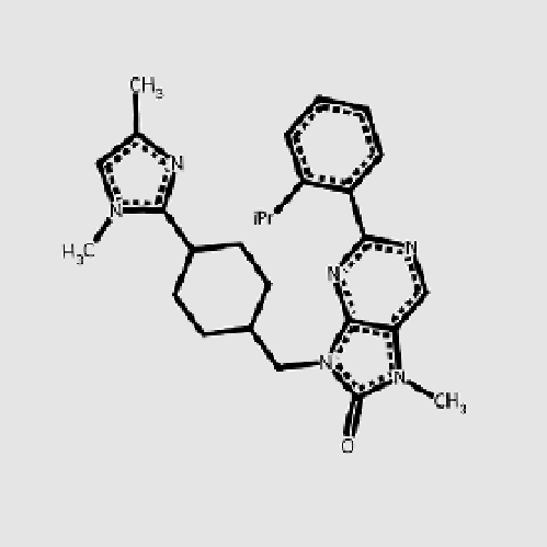 Cc1cn(C)c(C2CCC(Cn3c(=O)n(C)c4cnc(-c5ccccc5C(C)C)nc43)CC2)n1